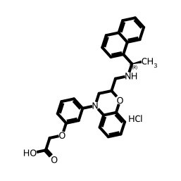 C[C@@H](NCC1CN(c2cccc(OCC(=O)O)c2)c2ccccc2O1)c1cccc2ccccc12.Cl